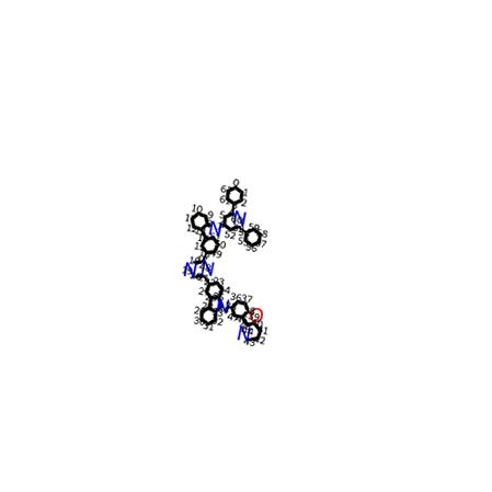 c1ccc(-c2cc(-n3c4ccccc4c4cc(-c5cncc(-c6ccc7c(c6)c6ccccc6n7-c6ccc7oc8cccnc8c7c6)n5)ccc43)cc(-c3ccccc3)n2)cc1